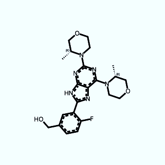 C[C@@H]1COCCN1c1nc(N2CCOC[C@H]2C)c2nc(-c3cc(CO)ccc3F)[nH]c2n1